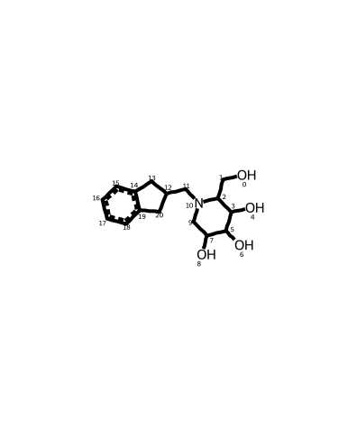 OCC1C(O)C(O)C(O)CN1CC1Cc2ccccc2C1